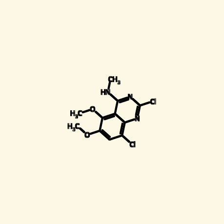 CNc1nc(Cl)nc2c(Cl)cc(OC)c(OC)c12